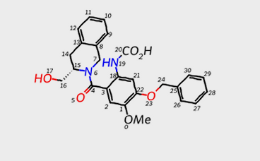 COc1cc(C(=O)N2Cc3ccccc3C[C@H]2CO)c(NC(=O)O)cc1OCc1ccccc1